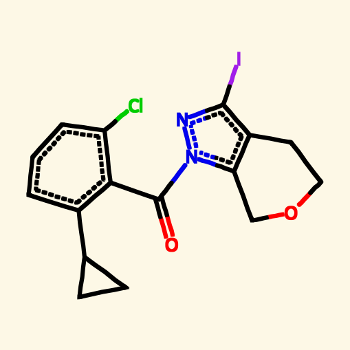 O=C(c1c(Cl)cccc1C1CC1)n1nc(I)c2c1COCC2